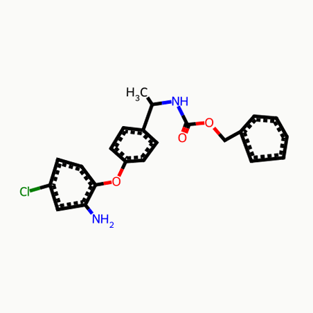 CC(NC(=O)OCc1ccccc1)c1ccc(Oc2ccc(Cl)cc2N)cc1